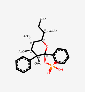 CC(=O)OC[C@H](OC(C)=O)[C@H]1O[C@](OP(=O)(O)O)(c2ccccc2)[C@](OC(C)=O)(c2ccccc2)[C@@H](OC(C)=O)[C@@H]1OC(C)=O